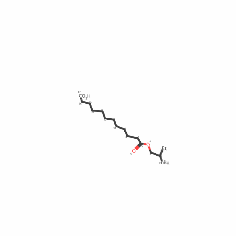 CCCCC(CC)COC(=O)CCCCCCCCCCC(=O)O